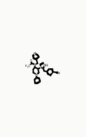 CC(=O)N(Cc1ccncc1)C1CCN(c2ccccc2)CC1N1C=CNC1Cc1ccc(C#N)cc1